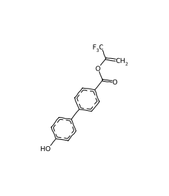 C=C(OC(=O)c1ccc(-c2ccc(O)cc2)cc1)C(F)(F)F